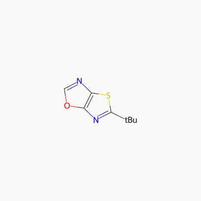 CC(C)(C)c1nc2ocnc2s1